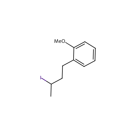 COc1ccccc1CCC(C)I